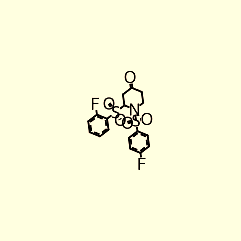 O=C1CCN(S(=O)(=O)c2ccc(F)cc2)C(S(=O)(=O)c2ccccc2F)C1